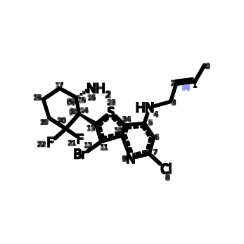 C/C=C/CNc1cc(Cl)nc2c(Br)c([C@@H]3[C@@H](N)CCCC3(F)F)sc12